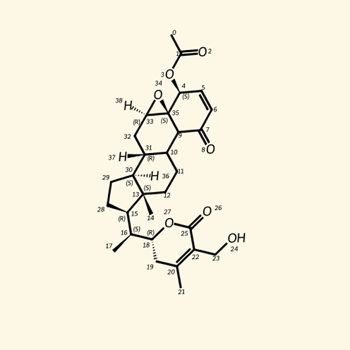 CC(=O)O[C@H]1C=CC(=O)C2C3CC[C@]4(C)[C@@H]([C@H](C)[C@H]5CC(C)=C(CO)C(=O)O5)CC[C@H]4[C@@H]3C[C@H]3O[C@]213